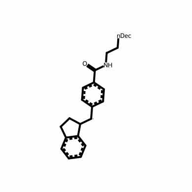 CCCCCCCCCCCCNC(=O)c1ccc([CH]C2CCc3ccccc32)cc1